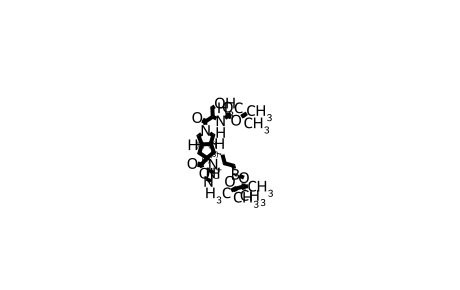 CC(C)(C)OC(=O)NC(CO)C(=O)N1C[C@@H]2C[C@@](N=[N+]=[N-])(C(=O)O)[C@@H](CCCB3OC(C)(C)C(C)(C)O3)[C@@H]2C1